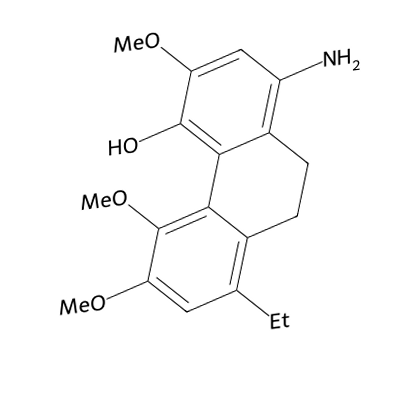 CCc1cc(OC)c(OC)c2c1CCc1c(N)cc(OC)c(O)c1-2